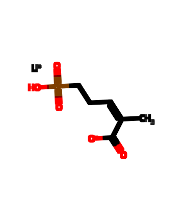 CC(=CCCS(=O)(=O)O)C(=O)[O-].[Li+]